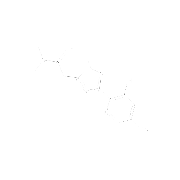 CN(C)C(=O)Cc1nc(-c2ncc(C#N)cc2O)no1